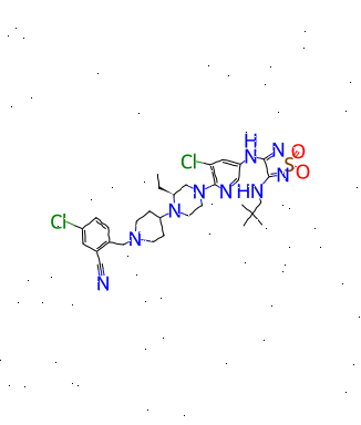 CC[C@H]1CN(c2ncc(NC3=NS(=O)(=O)N=C3NCC(C)(C)C)cc2Cl)CCN1C1CCN(Cc2ccc(Cl)cc2C#N)CC1